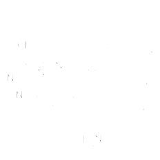 Cc1nnc2ccc(Oc3cc(CN)ccc3-c3ccccc3)nn12